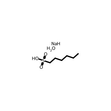 CCCCCCS(=O)(=O)O.O.[NaH]